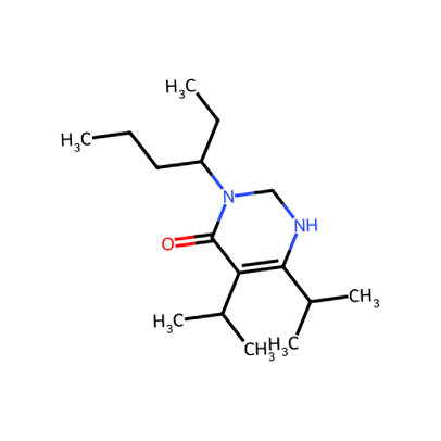 CCCC(CC)N1CNC(C(C)C)=C(C(C)C)C1=O